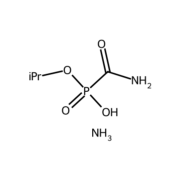 CC(C)OP(=O)(O)C(N)=O.N